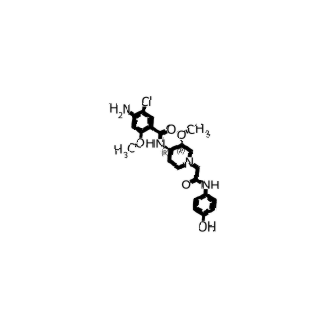 COc1cc(N)c(Cl)cc1C(=O)N[C@@H]1CCN(CC(=O)Nc2ccc(O)cc2)C[C@H]1OC